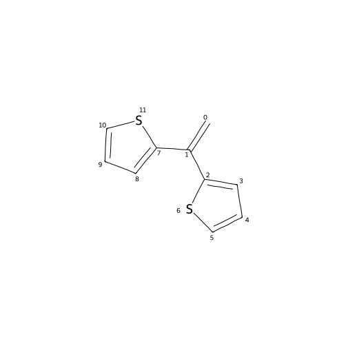 C=C(c1cccs1)c1cccs1